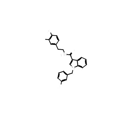 O=C(NCCc1ccc(Cl)c(F)c1)c1cn(Cc2cccc(F)c2)c2ccccc12